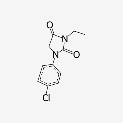 CCN1C(=O)CN(c2ccc(Cl)cc2)C1=O